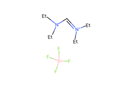 CCN(C=[N+](CC)CC)CC.F[B-](F)(F)F